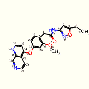 CCc1cc(NC(=O)Cc2ccc(Oc3ccnc4cnccc34)cc2OC)no1